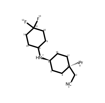 CC(C)[C@]1(CC#N)CC[C@@H](NC2CCC(F)(F)CC2)CC1